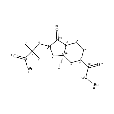 CCCC(=O)C(C)(C)CN1C[C@@H]2CN(C(=O)OC(C)(C)C)CCN2C1=O